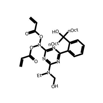 C=CC(=O)ON(OC(=O)C=C)c1nc(-c2ccccc2C(O)(CCCCCCCC)CCCCCCCC)nc(N(CC)CO)n1